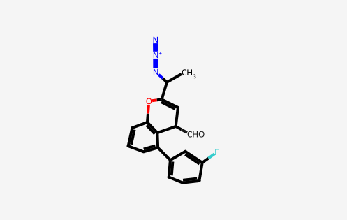 CC(N=[N+]=[N-])C1=CC(C=O)c2c(cccc2-c2cccc(F)c2)O1